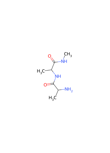 CNC(=O)C(C)NC(=O)C(C)N